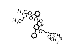 CCCCC(C)OC(=O)c1ccccc1OC(=O)c1ccc(-c2ccccc2)c(OCCCC(CC)OC)c1F